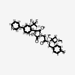 CN1CC(N(Cc2ccc(F)cc2)C(=O)CN2C(=O)N[C@]3(CC(F)(F)c4cc(-c5cccnc5)ccc43)C2=O)(C(F)(F)F)C1